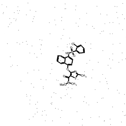 CON(C)C(=O)c1sc(C)nc1Oc1ccc(NS(=O)(=O)c2ccccc2Cl)c2ccccc12